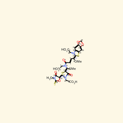 CO/C(C=CC(=O)N(CC(=O)O)/C(SC)=c1\s/c(=C2/OC(=S)N(C)C2=O)n(CC(=O)O)c1=O)=C1\Sc2cc3c(cc2N1CC(=O)O)OCO3